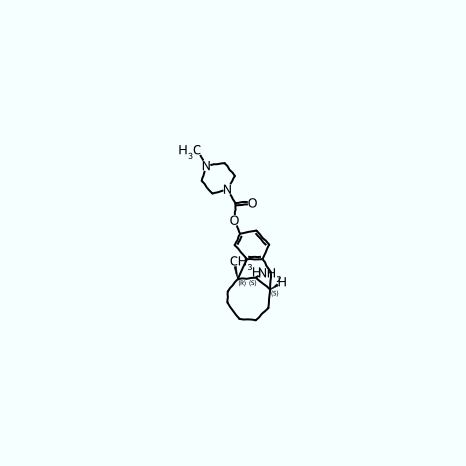 CN1CCN(C(=O)Oc2ccc3c(c2)[C@@]2(C)CCCCC[C@@H](C3)[C@@H]2N)CC1